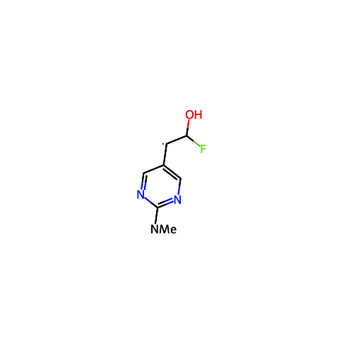 CNc1ncc([CH]C(O)F)cn1